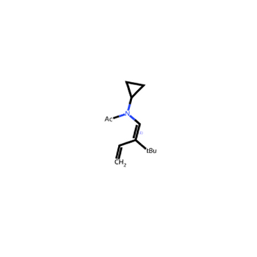 C=C/C(=C\N(C(C)=O)C1CC1)C(C)(C)C